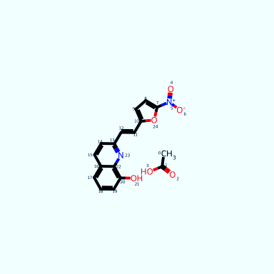 CC(=O)O.O=[N+]([O-])c1ccc(C=Cc2ccc3cccc(O)c3n2)o1